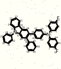 Fc1ccc(N(c2ccc(F)cc2)c2ccc(-c3cc4c5ccccc5n(-c5ccccc5)c4cc3-c3ccccc3)cc2)cc1